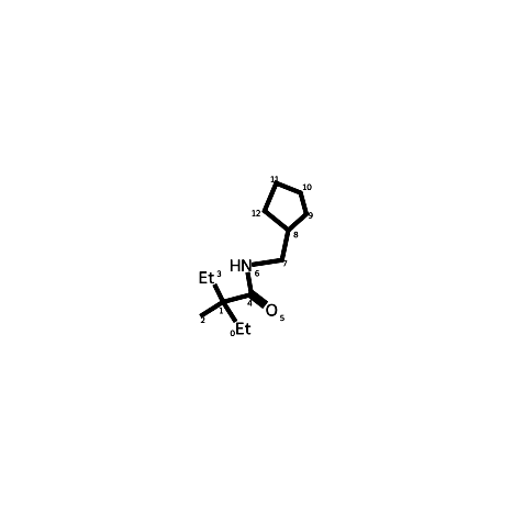 CCC(C)(CC)C(=O)NCC1CCCC1